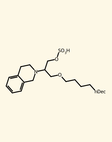 CCCCCCCCCCCCCCOCC(COS(=O)(=O)O)N1CCc2ccccc2C1